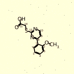 COc1ccccc1-c1ccnc(SCC(=O)O)n1